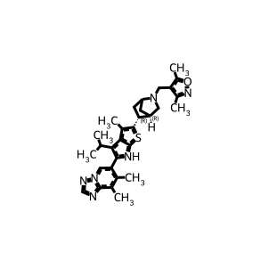 Cc1noc(C)c1CN1C[C@@H]2CC1C[C@H]2c1sc2[nH]c(-c3cn4ncnc4c(C)c3C)c(C(C)C)c2c1C